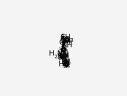 COc1ccc(F)cc1C(=O)NCc1ccc(-c2ncc(-c3nc4ccccn4n3)c3[nH]nc(N)c23)cc1